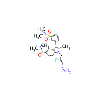 Cc1c(-c2cccc(S(=O)(=O)N(C)C)c2)c2cc(C(=O)N(C)C)ccc2n1CC(F)=CCN